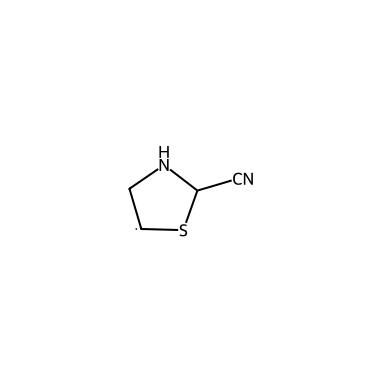 N#CC1NC[CH]S1